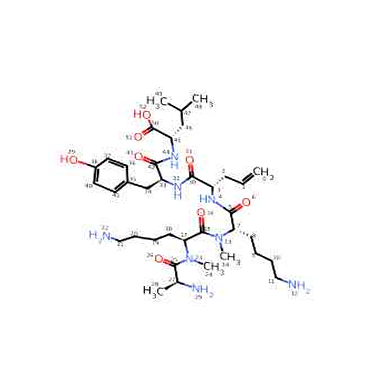 C=CC[C@H](NC(=O)[C@H](CCCCN)N(C)C(=O)[C@H](CCCCN)N(C)C(=O)[C@H](C)N)C(=O)N[C@@H](Cc1ccc(O)cc1)C(=O)N[C@@H](CC(C)C)C(=O)O